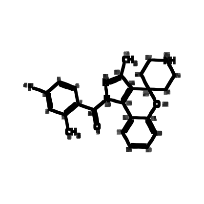 Cc1cc(F)ccc1C(=O)n1nc(C)c2c1-c1ccccc1OC21CCNCC1